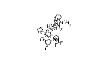 C[C@@H](c1ccccn1)N(C1CC1)S(=O)(=O)N[C@H]1CC2=C(c3ccn(C(F)F)n3)[C@H](c3ccc(F)cc3Cl)N=C(c3nccs3)N2C1